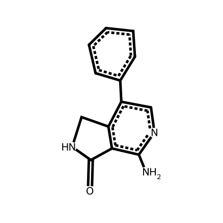 Nc1ncc(-c2ccccc2)c2c1C(=O)NC2